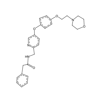 O=C(Cc1ccccc1)NCc1ccc(Oc2ccc(OCCN3CCOCC3)cc2)cn1